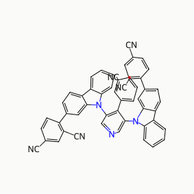 N#Cc1cccc(-c2c(-n3c4ccccc4c4ccc(-c5ccc(C#N)cc5C#N)cc43)cncc2-n2c3ccccc3c3ccc(-c4ccc(C#N)cc4C#N)cc32)c1